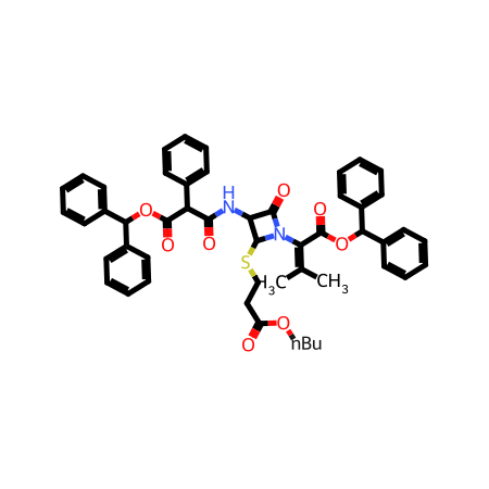 CCCCOC(=O)CCSC1C(NC(=O)C(C(=O)OC(c2ccccc2)c2ccccc2)c2ccccc2)C(=O)N1C(C(=O)OC(c1ccccc1)c1ccccc1)=C(C)C